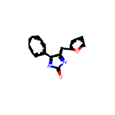 O=C1N=C(Cc2ccco2)C(c2ccccc2)=N1